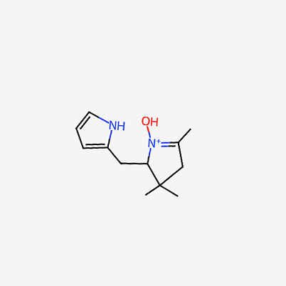 CC1=[N+](O)C(Cc2ccc[nH]2)C(C)(C)C1